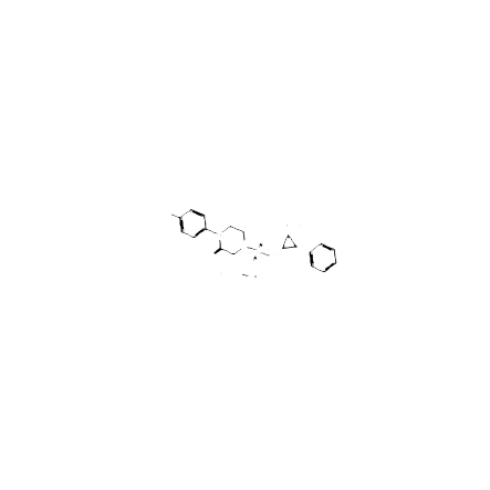 C[C@H]1[C@H](NS(=O)(=O)N2CCN(c3ccc(C(F)(F)F)cc3)C(=O)C2)[C@H]1c1ccccc1.O=C(O)O